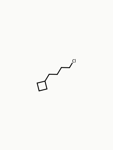 ClCCCCC1CCC1